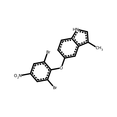 Cc1c[nH]c2ccc(Oc3c(Br)cc([N+](=O)[O-])cc3Br)cc12